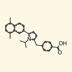 Cc1ccc(C)c2cc(-c3ccc(Cc4ccc(C(=O)O)cc4)n3C(C)C)ccc12